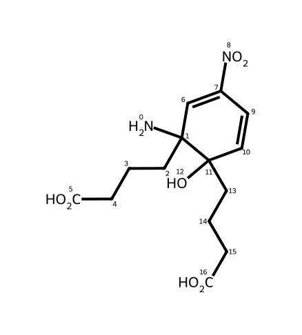 NC1(CCCC(=O)O)C=C([N+](=O)[O-])C=CC1(O)CCCC(=O)O